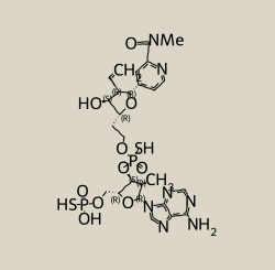 C=C[C@@H]1[C@H](O)[C@@H](CCOP(=O)(S)O[C@H]2[C@@H](C)[C@H](n3cnc4c(N)ncnc43)O[C@@H]2COP(=O)(O)S)O[C@H]1c1ccnc(C(=O)NC)c1